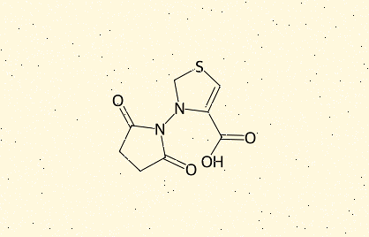 O=C(O)C1=CSCN1N1C(=O)CCC1=O